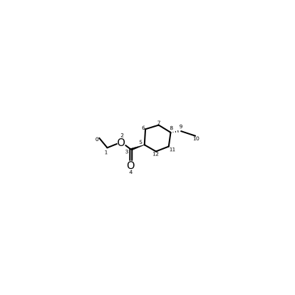 CCOC(=O)[C@H]1CC[C@H](CC)CC1